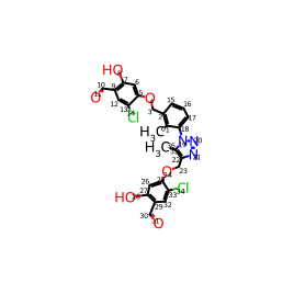 Cc1c(COc2cc(O)c(C=O)cc2Cl)cccc1-n1nnc(COc2cc(O)c(C=O)cc2Cl)c1C